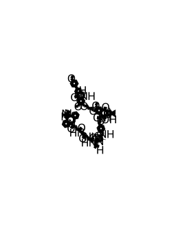 COc1ccc(C2=CN3C(=O)c4cc(OC)c(OCCCOc5cc6c(cc5OC)C(=O)N5CC7(CC7)C[C@H]5C(O)N6C(=O)OCc5ccc(NC(=O)[C@H](C)NC(=O)[C@@H](NC(=O)CNC(=O)CNC(=O)CCC(=O)N6Cc7ccccc7-c7c(nnn7C)-c7ccccc76)C(C)C)cc5)cc4NC[C@@H]3C2)cc1